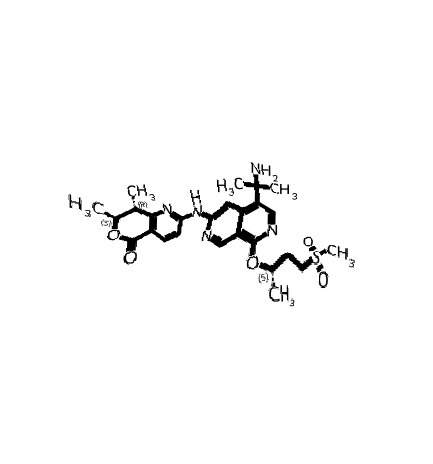 C[C@@H]1OC(=O)c2ccc(Nc3cc4c(C(C)(C)N)cnc(O[C@@H](C)CCS(C)(=O)=O)c4cn3)nc2[C@H]1C